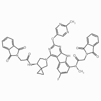 Cc1ncc(Oc2nc(N3C[C@H](NC(=O)CN4C(=O)c5ccccc5C4=O)C4(CC4)C3)c3c(n2)[nH]c2c(N(C)C(=O)CN4C(=O)c5ccccc5C4=O)cc(F)cc23)cn1